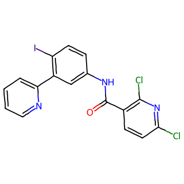 O=C(Nc1ccc(I)c(-c2ccccn2)c1)c1ccc(Cl)nc1Cl